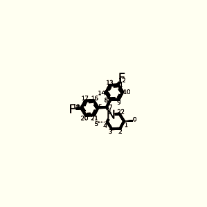 C[C@H]1CC[C@H](C)N(C(c2ccc(F)cc2)c2ccc(F)cc2)C1